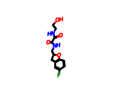 O=C(NCCO)C(=O)NCC1Cc2cc(F)ccc2O1